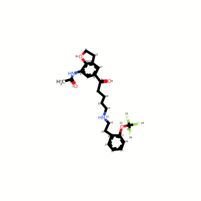 CC(=O)Nc1cc(C(=O)CCCCNCCc2ccccc2OC(F)(F)F)cc2c1OCC2